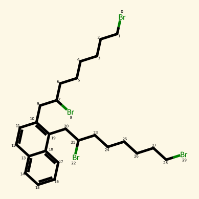 BrCCCCCCC(Br)Cc1ccc2ccccc2c1CC(Br)CCCCCCBr